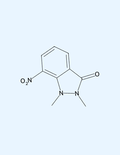 Cn1c(=O)c2cccc([N+](=O)[O-])c2n1C